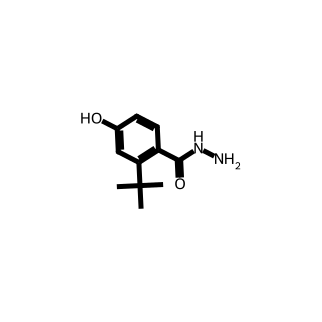 CC(C)(C)c1cc(O)ccc1C(=O)NN